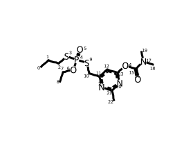 CCCSP(=O)(OCC)SCc1cc(OC(=O)N(C)C)nc(C)n1